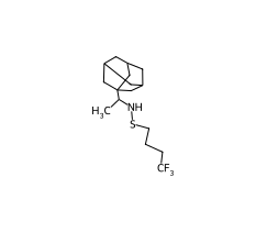 CC(NSCCCC(F)(F)F)C12CC3CC(CC(C3)C1)C2